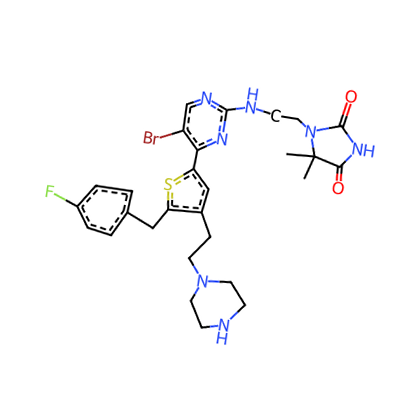 CC1(C)C(=O)NC(=O)N1CCNc1ncc(Br)c(-c2cc(CCN3CCNCC3)c(Cc3ccc(F)cc3)s2)n1